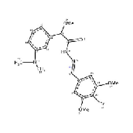 COc1cc(/C=N/NC(=O)C(OC)c2cccc(N(C)C)c2)cc(OC)c1Br